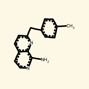 Cc1ccc(Cc2ccc3ccnc(N)c3n2)cc1